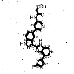 CC(C)(C)CC(=O)Nc1cncc(-c2ccc3[nH]nc(-c4nc5c(-c6ccc(F)s6)cncc5[nH]4)c3c2)c1